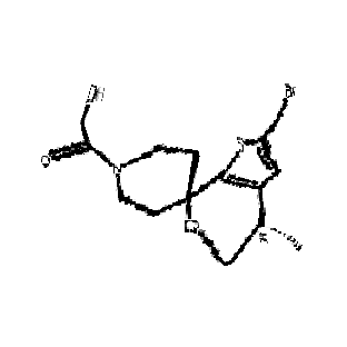 C[C@@H]1COC2(CCN(C(=O)O)CC2)c2sc(Br)cc21